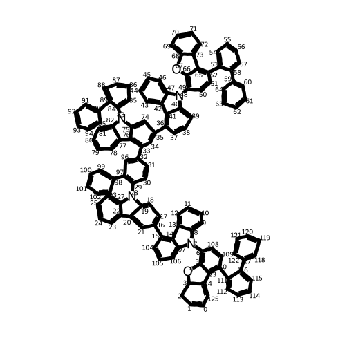 C1=CCC2Oc3c(-n4c5ccccc5c5c(-c6ccc7c(c6)c6ccccc6n7-c6ccc(-c7cc(-c8cccc9c8c8ccccc8n9-c8ccc(-c9ccccc9-c9ccccc9)c9c8oc8ccccc89)cc8c7c7ccccc7n8-c7ccccc7-c7ccccc7)cc6-c6ccccc6)cccc54)ccc(-c4ccccc4-c4ccccc4)c3C2=C1